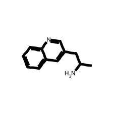 CC(N)Cc1cnc2ccccc2c1